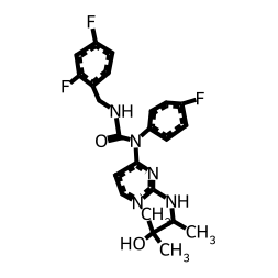 CC(Nc1nccc(N(C(=O)NCc2ccc(F)cc2F)c2ccc(F)cc2)n1)C(C)(C)O